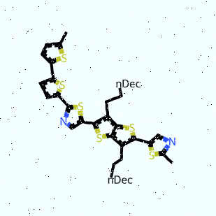 CCCCCCCCCCCCc1c(-c2cnc(C)s2)sc2c(CCCCCCCCCCCC)c(-c3cnc(-c4ccc(-c5ccc(C)s5)s4)s3)sc12